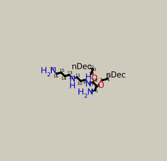 CCCCCCCCCCCCOC(CN)C(NCCCNCCCCN)OCCCCCCCCCCCC